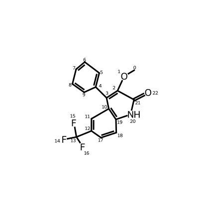 COc1c(-c2ccccc2)c2cc(C(F)(F)F)ccc2[nH]c1=O